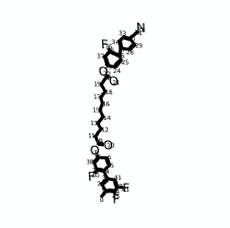 Cc1cc(-c2ccc(OC(=O)CCCCCCCCCC(=O)Oc3ccc(-c4ccc(C#N)cc4)c(F)c3)cc2F)cc(F)c1F